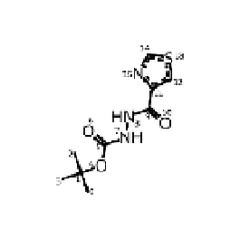 CC(C)(C)OC(=O)NNC(=O)c1cscn1